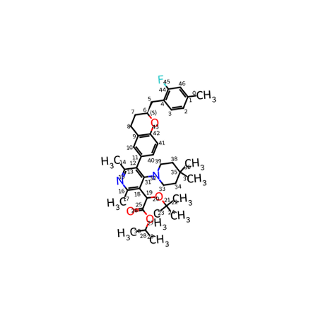 Cc1ccc(C[C@@H]2CCc3cc(-c4c(C)nc(C)c(C(OC(C)(C)C)C(=O)OC(C)C)c4N4CCC(C)(C)CC4)ccc3O2)c(F)c1